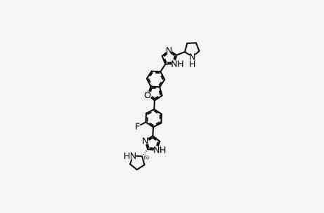 Fc1cc(-c2cc3cc(-c4cnc(C5CCCN5)[nH]4)ccc3o2)ccc1-c1c[nH]c([C@@H]2CCCN2)n1